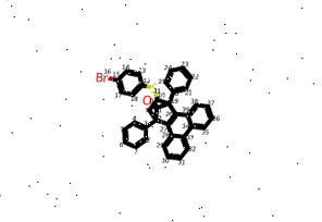 O=C1C2(c3ccccc3)CC(Sc3ccc(Br)cc3)C1(c1ccccc1)c1c2c2ccccc2c2ccccc12